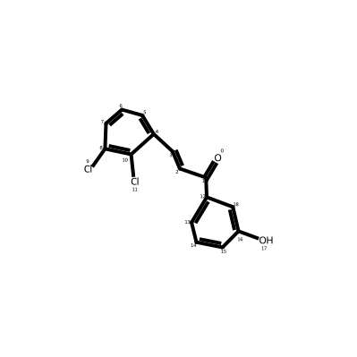 O=C(C=Cc1cccc(Cl)c1Cl)c1cccc(O)c1